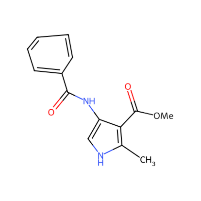 COC(=O)c1c(NC(=O)c2ccccc2)c[nH]c1C